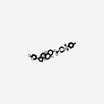 Cc1ccc(S(=O)(=O)N2CCN(C(=O)O[C@H]3CC[C@@]4(C)[C@H](CC[C@@H]5[C@@H]4CC[C@]4(C)[C@@H](c6ccc(=O)oc6)CC[C@]54O)C3)CC2)cc1